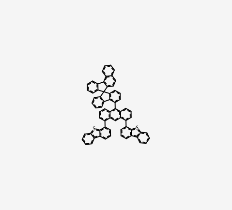 c1ccc2c(c1)-c1c(-c3c4cccc(-c5cccc6c5sc5ccccc56)c4cc4c(-c5cccc6c5sc5ccccc56)cccc34)cccc1C21c2ccccc2-c2c1ccc1ccccc21